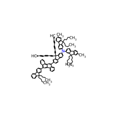 C#CC#CC#CC#CC1(C#CC#CC#CC#C)c2cc(-c3cc4c5ccccc5c(-c5ccc6c(c5)C(CCCC)(CCCC)c5ccccc5-6)cc4c4ccccc34)ccc2-c2ccc(N(c3ccc4c(c3)C(CCCC)(CCCC)c3cc(C)ccc3-4)c3ccc4c(c3)C(CCCC)(CCCC)c3cc(C)ccc3-4)cc21